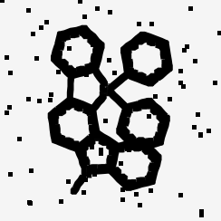 Cn1c2ccccc2c2c3c(ccc21)-c1ccccc1[Si]3(c1ccccc1)c1ccccc1